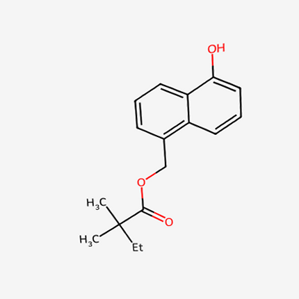 CCC(C)(C)C(=O)OCc1cccc2c(O)cccc12